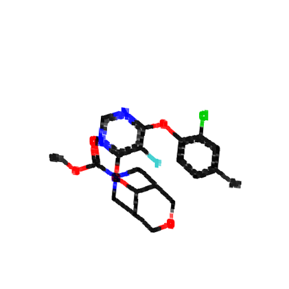 CC(=O)c1ccc(Oc2ncnc(OC3C4COCC3CN(C(=O)OC(C)(C)C)C4)c2F)c(Cl)c1